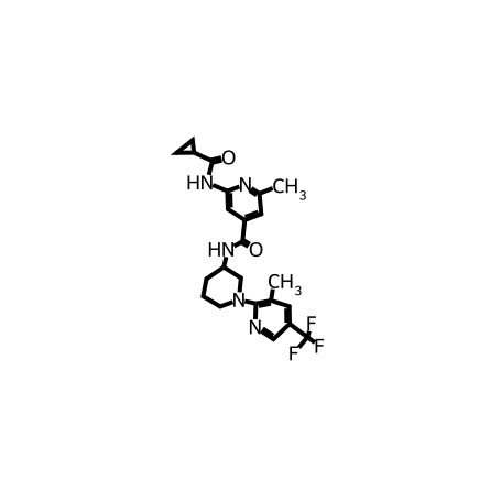 Cc1cc(C(=O)NC2CCCN(c3ncc(C(F)(F)F)cc3C)C2)cc(NC(=O)C2CC2)n1